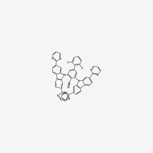 N#Cc1c(-n2c3cc(-c4ncccn4)ccc3c3ccc(-c4ncccn4)cc32)cc(-c2c(F)cccc2F)cc1-n1c2cc(-c3ncccn3)ccc2c2ccc(-c3ncccn3)cc21